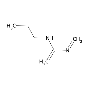 C=NC(=C)NCCC